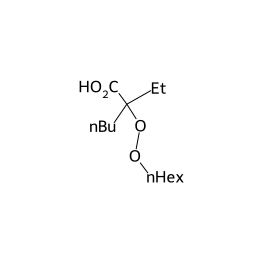 CCCCCCOOC(CC)(CCCC)C(=O)O